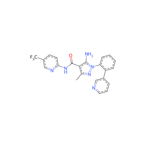 Cc1nn(-c2ccccc2-c2cccnc2)c(N)c1C(=O)Nc1ccc(C(F)(F)F)cn1